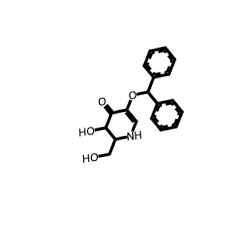 O=C1C(OC(c2ccccc2)c2ccccc2)=CNC(CO)C1O